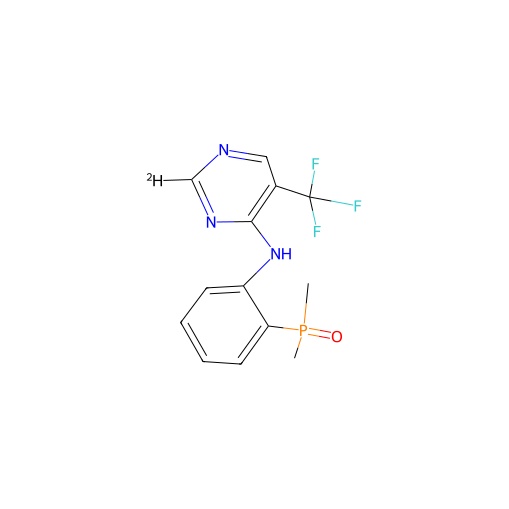 [2H]c1ncc(C(F)(F)F)c(Nc2ccccc2P(C)(C)=O)n1